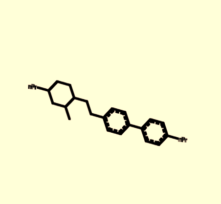 CCCc1ccc(-c2ccc(CCC3CCC(CCC)CC3C)cc2)cc1